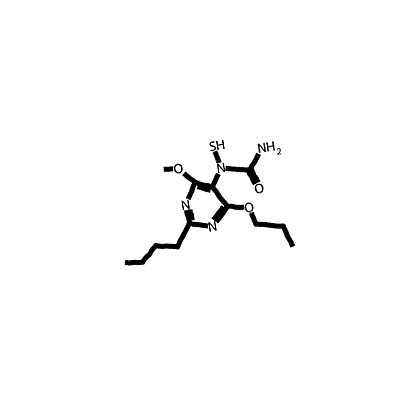 CCCCc1nc(OC)c(N(S)C(N)=O)c(OCCC)n1